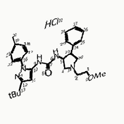 COCCN1CC(NC(=O)Nc2cc(C(C)(C)C)nn2-c2ccc(C)cc2)C(c2ccccc2)C1.Cl